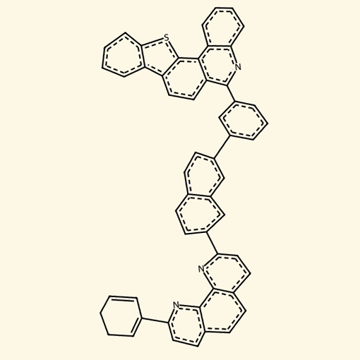 C1=CC(c2ccc3ccc4ccc(-c5ccc6ccc(-c7cccc(-c8nc9ccccc9c9c8ccc8c%10ccccc%10sc89)c7)cc6c5)nc4c3n2)=CCC1